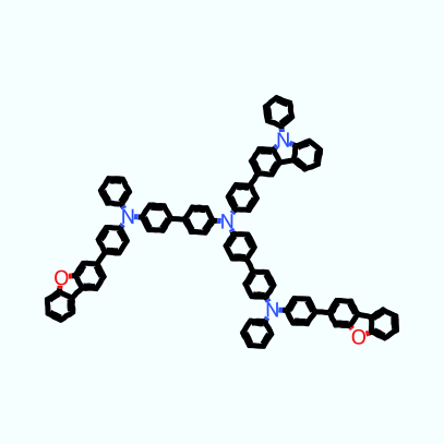 c1ccc(N(c2ccc(-c3ccc(N(c4ccc(-c5ccc(N(c6ccccc6)c6ccc(-c7ccc8c(c7)oc7ccccc78)cc6)cc5)cc4)c4ccc(-c5ccc6c(c5)c5ccccc5n6-c5ccccc5)cc4)cc3)cc2)c2ccc(-c3ccc4c(c3)oc3ccccc34)cc2)cc1